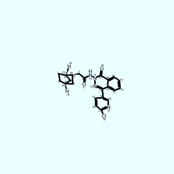 O=C(C[C@H]1C[C@@H]2CC[C@H]1C2)Nn1nc(-c2ccc(Cl)nc2)c2ccccc2c1=O